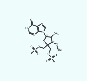 CCCCO[C@@H]1C(OC(C)=O)[C@H](n2cnc3c(=O)[nH]cnc32)OC1(COS(C)(=O)=O)COS(C)(=O)=O